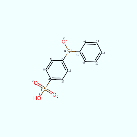 O=S(=O)(O)c1ccc([S+]([O-])c2ccccc2)cc1